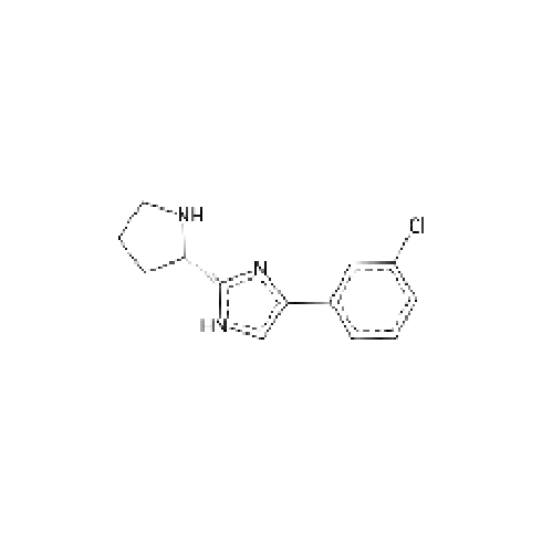 Clc1cccc(-c2c[nH]c([C@@H]3CCCN3)n2)c1